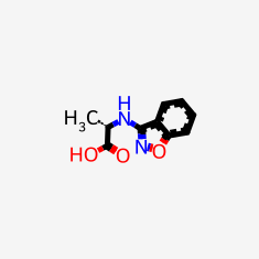 C[C@H](Nc1noc2ccccc12)C(=O)O